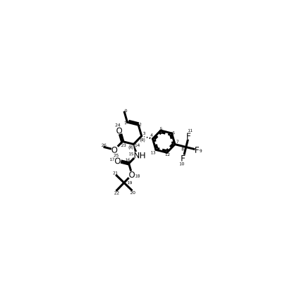 CC=C[C@H](c1ccc(C(F)(F)F)cc1)[C@@H](NC(=O)OC(C)(C)C)C(=O)OC